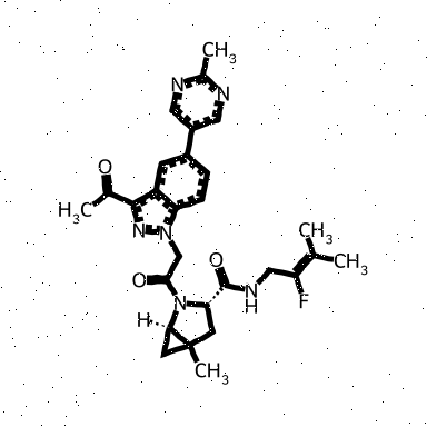 CC(=O)c1nn(CC(=O)N2[C@H](C(=O)NCC(F)=C(C)C)CC3(C)C[C@@H]23)c2ccc(-c3cnc(C)nc3)cc12